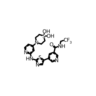 O=C(NCC(F)(F)F)c1cncc(-c2cnc(Nc3cc(N4CCS(O)(O)CC4)ccn3)s2)c1